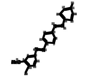 COc1cc(N=Nc2ccc(N=Nc3ccc(C)cc3)cc2)ccc1C